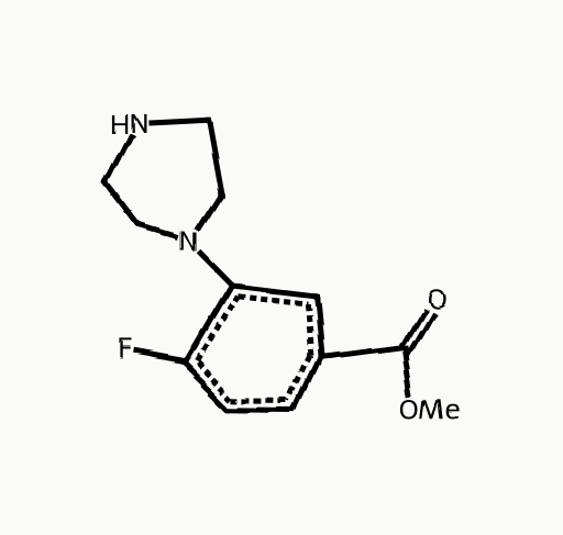 COC(=O)c1ccc(F)c(N2CCNCC2)c1